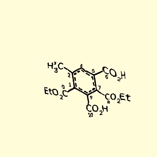 CCOC(=O)c1c(C)cc(C(=O)O)c(C(=O)OCC)c1C(=O)O